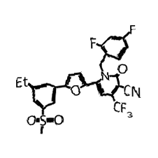 CCc1cc(-c2ccc(-c3cc(C(F)(F)F)c(C#N)c(=O)n3Cc3ccc(F)cc3F)o2)cc(S(C)(=O)=O)c1